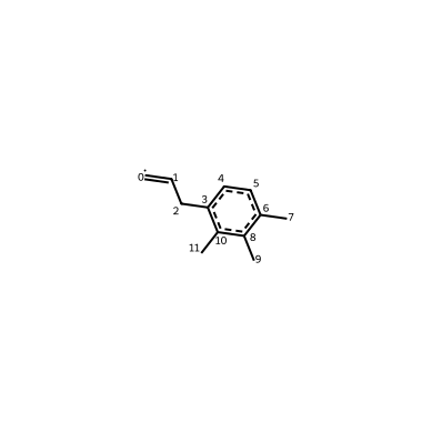 [CH]=CCc1ccc(C)c(C)c1C